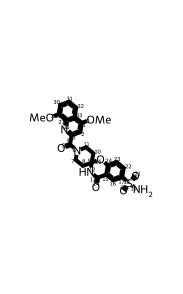 COc1cc(C(=O)N2CCC3(CC2)NC(=O)c2cc(S(N)(=O)=O)ccc2O3)nc2c(OC)cccc12